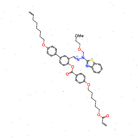 C=CCCCCCCOc1ccc(-c2ccc(OC(=O)c3ccc(OCCCCCCOC(=O)C=C)cc3)c(/C=N/N(COCCOC)c3nc4ccccc4s3)c2)cc1